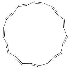 [C]1=C/C=C/C=C/C=C/C=C\C=C\C=C\C=C/C=C/C=C/C=C/C/1